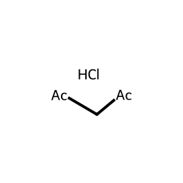 CC(=O)CC(C)=O.Cl